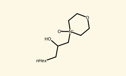 CCCCCCCC(O)C[N+]1([O-])CCOCC1